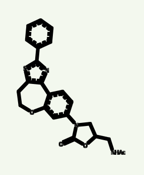 CC(=O)NCC1CN(c2ccc3c(c2)OCCc2sc(-c4ccccc4)nc2-3)C(=O)O1